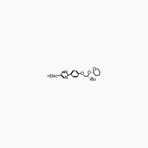 CCCCCCCCCCc1cnc(-c2ccc(OCC(O[C@H]3CCCCO3)[C@@H](C)CC)cc2)nc1